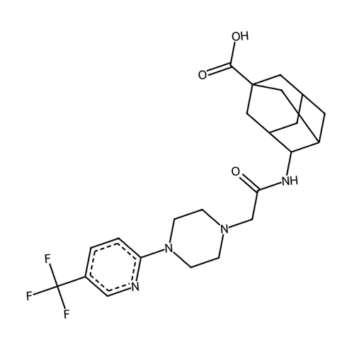 O=C(CN1CCN(c2ccc(C(F)(F)F)cn2)CC1)NC1C2CC3CC1CC(C(=O)O)(C3)C2